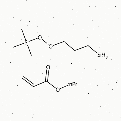 C=CC(=O)OCCC.C[Si](C)(C)OOCCC[SiH3]